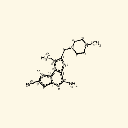 CN1CCN(Cc2nc3c(N)nc4cc(Br)sc4c3n2C)CC1